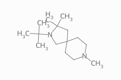 CN1CCC2(CC1)CN(C(C)(C)C)C(C)(C)C2